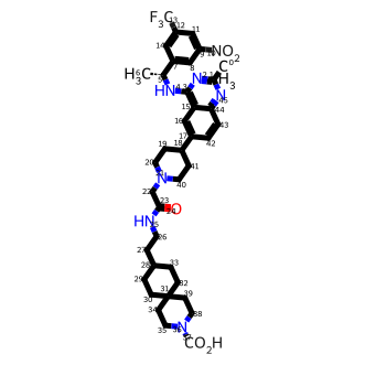 Cc1nc(N[C@H](C)c2cc([N+](=O)[O-])cc(C(F)(F)F)c2)c2cc(C3CCN(CC(=O)NCCC4CCC5(CC4)CCN(C(=O)O)CC5)CC3)ccc2n1